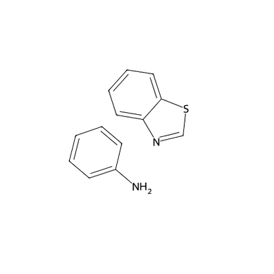 Nc1ccccc1.c1ccc2scnc2c1